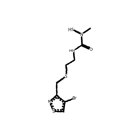 CN(S)C(=O)NCCSCc1nscc1Br